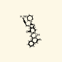 CC#CCn1c(N2CCC[C@@H](N)C2)nc2cnn(CC3c4ccccc4C=C(C)N3O)c(=O)c21